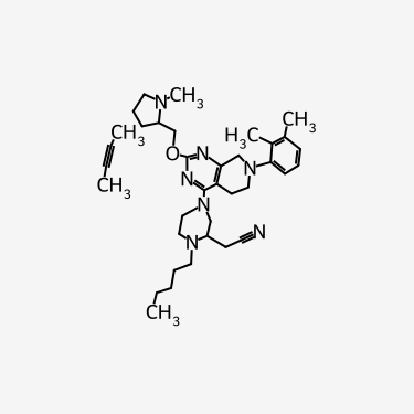 CC#CC.CCCCCN1CCN(c2nc(OCC3CCCN3C)nc3c2CCN(c2cccc(C)c2C)C3)CC1CC#N